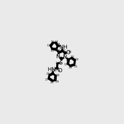 O=C(CSc1nc2c([nH]c3ccccc32)c(=O)n1-c1ccccc1)Nc1ccccc1